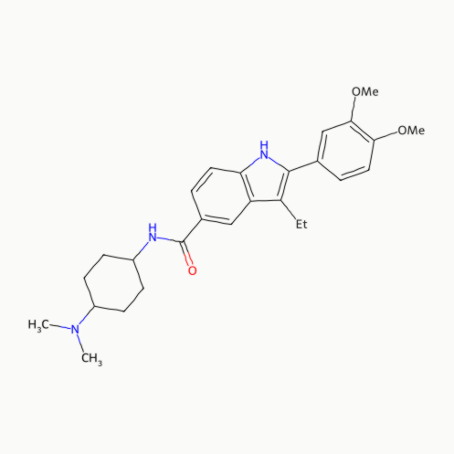 CCc1c(-c2ccc(OC)c(OC)c2)[nH]c2ccc(C(=O)NC3CCC(N(C)C)CC3)cc12